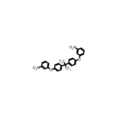 O=[N+]([O-])c1cccc(Oc2ccc(C(c3ccc(Oc4cccc([N+](=O)[O-])c4)cc3)(C(F)(F)F)C(F)(F)F)cc2)c1